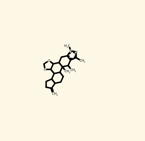 C=C1CCC2C1CCC1C2C2OCOC2C2Cc3c(c(C)nn3C)C(C)C21C